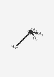 CCCCCCCCCCCCCCCCOC(=O)C(CC)(CCCC)CCCCCC